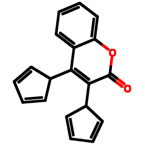 O=c1oc2ccccc2c(C2C=CC=C2)c1C1C=CC=C1